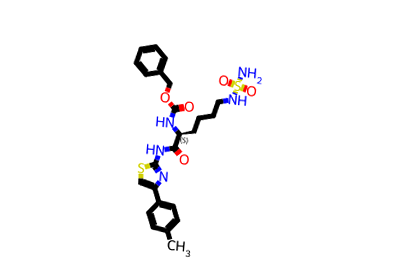 Cc1ccc(-c2csc(NC(=O)[C@H](CCCCNS(N)(=O)=O)NC(=O)OCc3ccccc3)n2)cc1